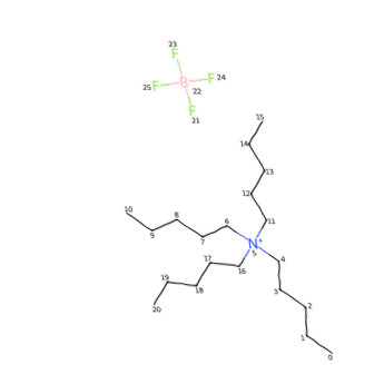 CCCCC[N+](CCCCC)(CCCCC)CCCCC.F[B-](F)(F)F